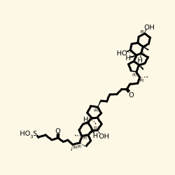 C[C@H](CCC(=O)CCCCC[C@@H]1CC[C@@]2(C)C(C1)C[C@H](O)[C@H]1C3CC[C@H]([C@H](C)CCC(=O)CCCS(=O)(=O)O)[C@@]3(C)CC[C@@H]12)[C@H]1CCC2[C@@H]3[C@@H](O)CC4C[C@H](O)CC[C@]4(C)[C@H]3CC[C@@]21C